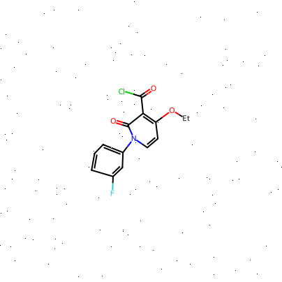 CCOc1ccn(-c2cccc(F)c2)c(=O)c1C(=O)Cl